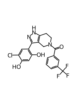 O=C(c1cccc(C(F)(F)F)c1)N1CCc2[nH]nc(-c3cc(Cl)c(O)cc3O)c2C1